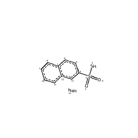 O=S(=O)(S)c1ccc2ccccc2c1.[NaH]